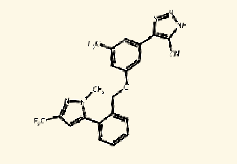 Cn1nc(C(F)(F)F)cc1-c1ccccc1COc1cc(-c2nn[nH]c2C#N)cc(C(F)(F)F)c1